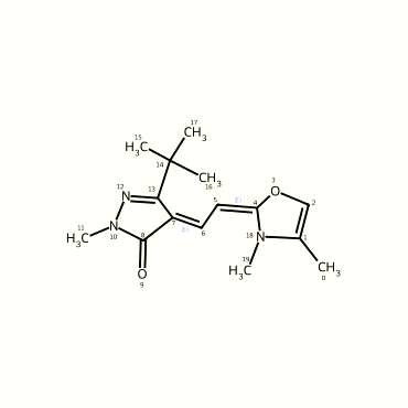 CC1=CO/C(=C/C=C2/C(=O)N(C)N=C2C(C)(C)C)N1C